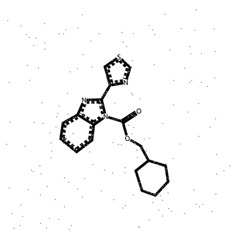 O=C(OCC1CCCCC1)n1c(-c2cscn2)nc2ccccc21